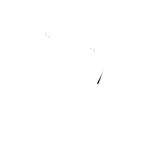 C[SiH](C)OC(OC(C)(C)C)[C@@H]1CCCN1CCN